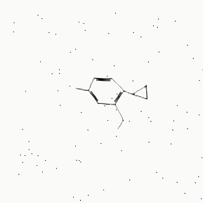 O[CH]c1cc(F)ccc1C1CC1